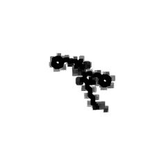 CC(C)(CSCc1ccccc1)C(=O)N[C@@H](CSCc1ccccc1)C(=O)C(N)CCCCCN